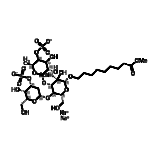 COC(=O)CCCCCCCCO[C@@H]1O[C@H](CO)[C@@H](O[C@H]2C[C@@H](OS(=O)(=O)[O-])[C@@H](O)[C@@H](CO)O2)[C@H](O[C@@H]2O[C@@H](C)[C@@H](OS(=O)(=O)[O-])[C@@H](O)[C@@H]2O)[C@]1(O)NC(C)=O.[Na+].[Na+]